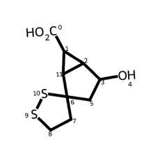 O=C(O)C1C2C(O)CC3(CCSS3)C12